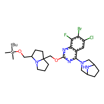 CC(C)(C)[Si](C)(C)OCC1CCC2(COc3nc(N4CC5CCC(C4)N5)c4cc(Cl)c(Br)c(F)c4n3)CCCN12